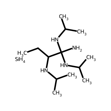 CCC(NC(C)C)C(N)(NC(C)C)NC(C)C.[SiH4]